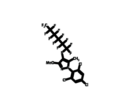 COc1nn(-c2c(Cl)cc(Cl)cc2Cl)c(C)c1SC(F)(F)C(F)(F)C(F)(F)C(F)(F)C(F)(F)C(F)(F)F